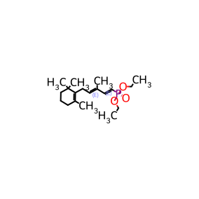 CCOP(=O)(/C=C/C(C)=C/CC1=C(C)CCCC1(C)C)OCC